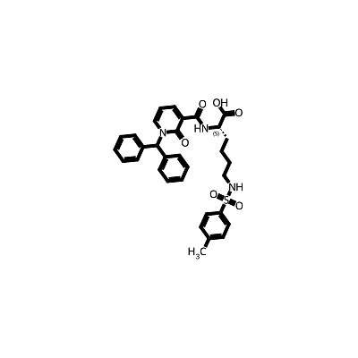 Cc1ccc(S(=O)(=O)NCCCC[C@H](NC(=O)c2cccn(C(c3ccccc3)c3ccccc3)c2=O)C(=O)O)cc1